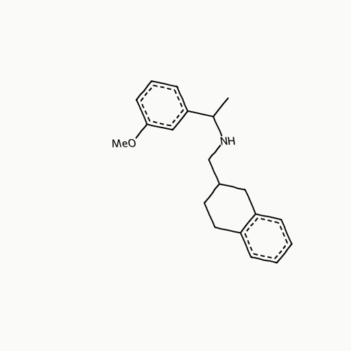 COc1cccc(C(C)NCC2CCc3ccccc3C2)c1